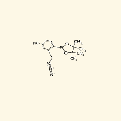 CC1(C)OB(c2ccc(C#N)cc2CN=[N+]=[N-])OC1(C)C